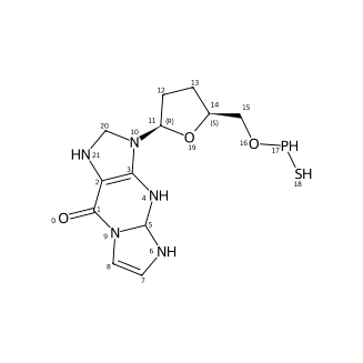 O=C1C2=C(NC3NC=CN13)N([C@H]1CC[C@@H](COPS)O1)CN2